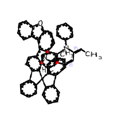 C/C=C(\C=C/C(C)(C)n1c2ccc3oc4ccccc4c3c2c2ccc3c(c21)C1(c2ccccc2-c2ccccc21)c1ccccc1-3)N(c1ccccc1)c1ccccc1